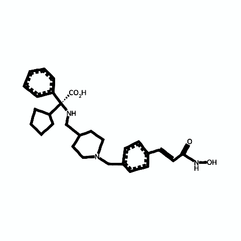 O=C(C=Cc1ccc(CN2CCC(CN[C@](C(=O)O)(c3ccccc3)C3CCCC3)CC2)cc1)NO